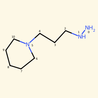 NNCCCN1CCCCC1